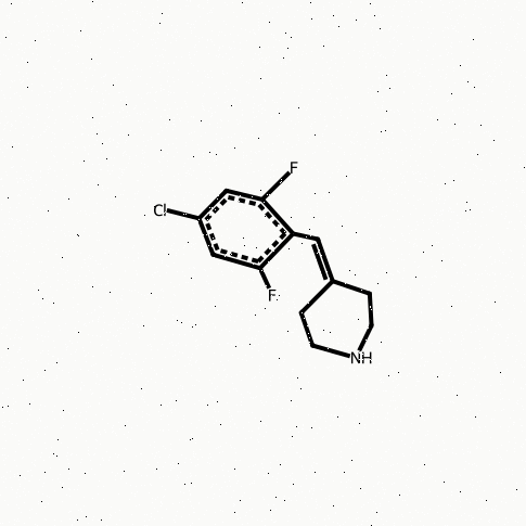 Fc1cc(Cl)cc(F)c1C=C1CCNCC1